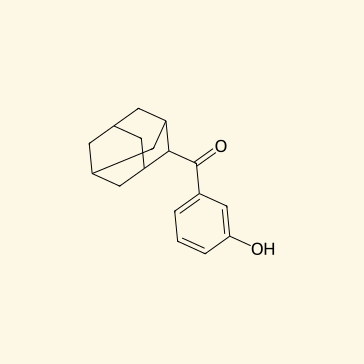 O=C(c1cccc(O)c1)C1C2CC3CC(C2)CC1C3